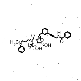 C[C@@H](O)[C@H]1[C@@H](CO)ON(Cc2cccc(C#CCNC(=O)c3ccccc3)c2)[C@H]1C(=O)NCCCN(C)c1ccccc1